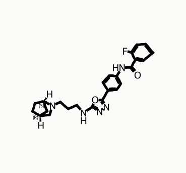 O=C(Nc1ccc(-c2nnc(NCCCN3C[C@@H]4CC[C@H]3C4)o2)cc1)c1ccccc1F